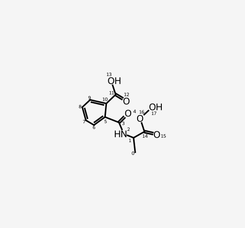 CC(NC(=O)c1ccccc1C(=O)O)C(=O)OO